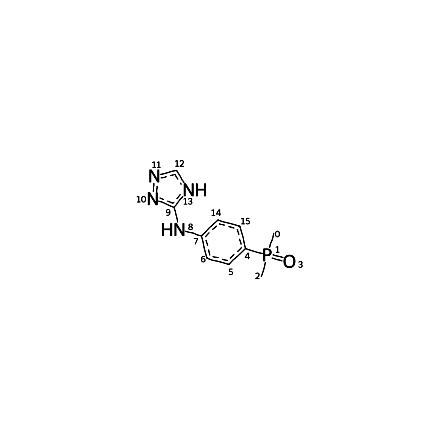 CP(C)(=O)c1ccc(Nc2nnc[nH]2)cc1